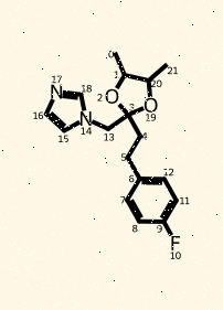 CC1OC(CCc2ccc(F)cc2)(Cn2ccnc2)OC1C